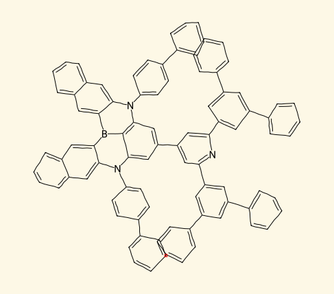 c1ccc(-c2ccc(N3c4cc5ccccc5cc4B4c5cc6ccccc6cc5N(c5ccc(-c6ccccc6)cc5)c5cc(-c6cc(-c7cc(-c8ccccc8)cc(-c8ccccc8)c7)nc(-c7cc(-c8ccccc8)cc(-c8ccccc8)c7)c6)cc3c54)cc2)cc1